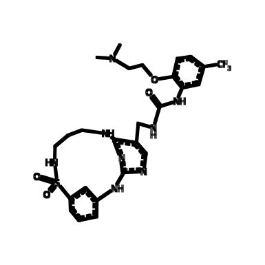 CN(C)CCOc1ccc(C(F)(F)F)cc1NC(=O)NCc1cnc2nc1NCCCNS(=O)(=O)c1cccc(c1)N2